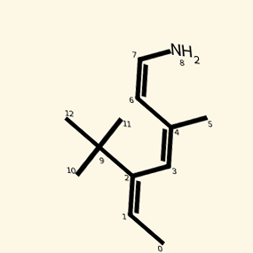 C\C=C(/C=C(C)\C=C/N)C(C)(C)C